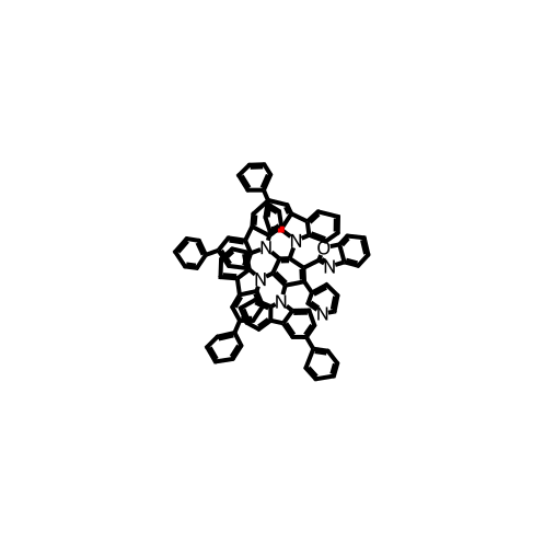 c1ccc(-c2ccc3c(c2)c2ccccc2n3-c2c(-c3cccnc3)c(-c3nc4ccccc4o3)c(-n3c4ccccc4c4cc(-c5ccccc5)ccc43)c(-n3c4ccccc4c4cc(-c5ccccc5)ccc43)c2-n2c3ccccc3c3cc(-c4ccccc4)ccc32)cc1